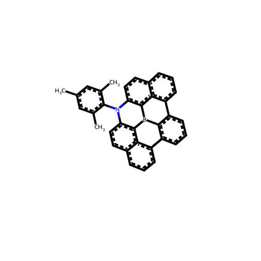 Cc1cc(C)c(N2c3ccc4cccc5c4c3B3c4c-5cccc4-c4cccc5ccc2c3c45)c(C)c1